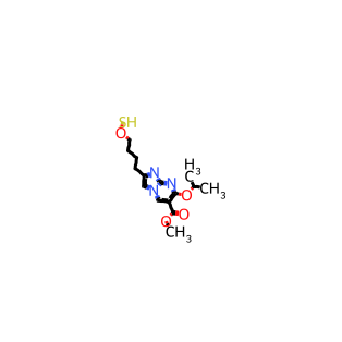 COC(=O)c1cn2cc(CCCCOS)nc2nc1OC(C)C